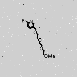 COCCOCCOCCOCc1ccc(Br)nc1